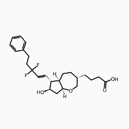 O=C(O)CCC[C@H]1CC[C@@H]2[C@@H](/C=C/C(F)(F)CCc3ccccc3)[C@H](O)C[C@@H]2OC1